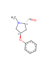 CN1C[C@H](Oc2ccccc2)C[C@H]1C=O